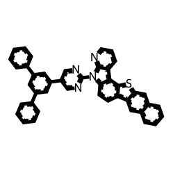 c1ccc(-c2cc(-c3ccccc3)cc(-c3cnc(-n4c5ccc6c7cc8ccccc8cc7sc6c5c5cccnc54)nc3)c2)cc1